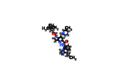 CC1CC(c2cccc(NC(=O)c3cc(CN4CCC[C@H](C)C4)c4c(ccn4COCC[Si](C)(C)C)n3)c2)(c2nncn2C)C1